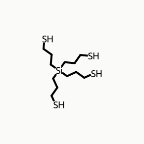 SCCC[Si](CCCS)(CCCS)CCCS